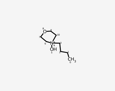 CCCC[N+]1(O)CCOCC1